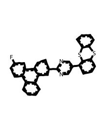 Fc1ccc2c3ccccc3c3cc(-c4ncc(-c5cccc6c5Sc5ccccc5S6)cn4)ccc3c2c1